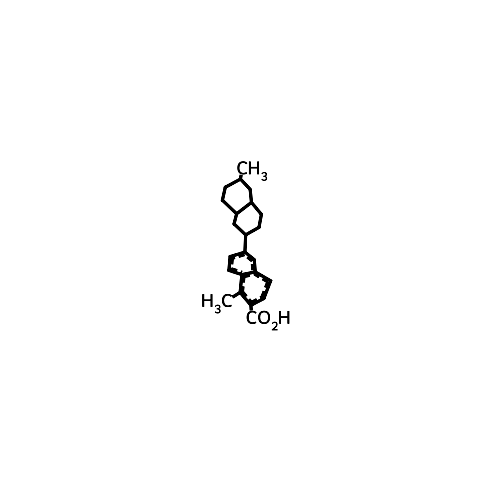 Cc1c(C(=O)O)ccc2cc(C3CCC4CC(C)CCC4C3)ccc12